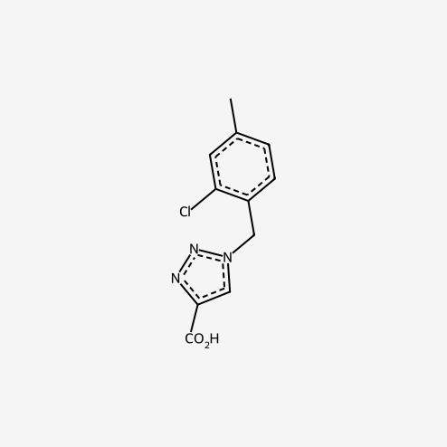 Cc1ccc(Cn2cc(C(=O)O)nn2)c(Cl)c1